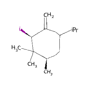 C=C1C(C(C)C)C[C@@H](C)C(C)(C)[C@H]1I